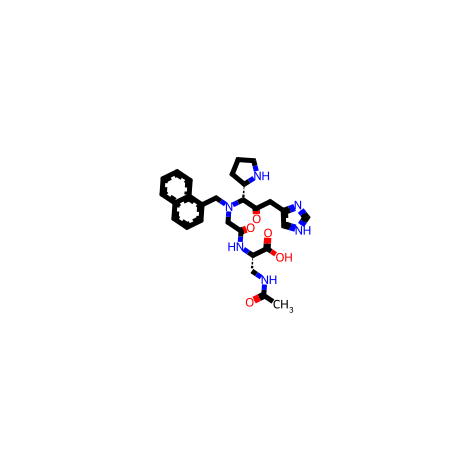 CC(=O)NC[C@H](NC(=O)CN(Cc1cccc2ccccc12)C(C(=O)Cc1c[nH]cn1)[C@@H]1CCCN1)C(=O)O